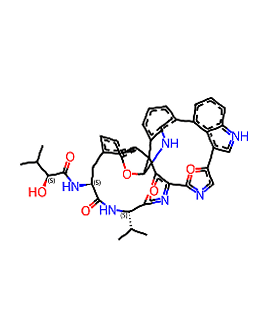 CC(C)[C@H](O)C(=O)N[C@H]1Cc2ccc3c(c2)C24c5cccc(c5NC2O3)-c2cccc3[nH]cc(c23)-c2cnc(o2)-c2nc(oc24)[C@H](C(C)C)NC1=O